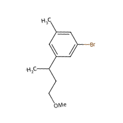 [CH2]C(CCOC)c1cc(C)cc(Br)c1